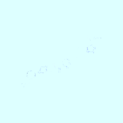 CNC(=O)c1cn(CC(F)CCc2ccc(NC(=O)Cc3cn(-c4cccc(OC(F)(F)F)c4)cn3)nn2)nn1